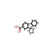 O=C(O)c1ccc2c(c1)C1(CCCC1)c1ccccc1-2